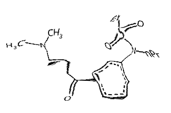 CCCN(c1cccc(C(=O)C=CN(C)C)c1)S(=O)(=O)CC